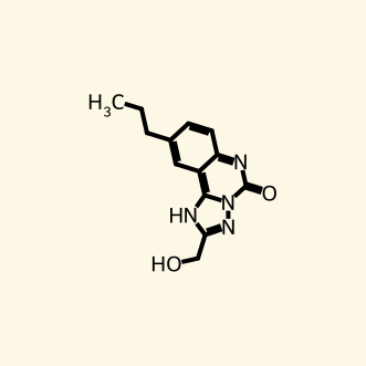 CCCc1ccc2nc(=O)n3nc(CO)[nH]c3c2c1